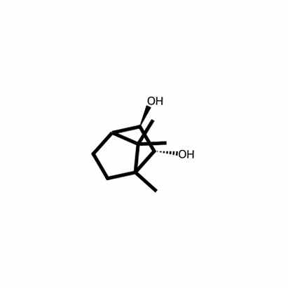 CC1(C)C2CCC1(C)[C@@H](O)[C@@H]2O